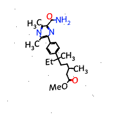 CCC(C)(CCC(C)CC(=O)OC)c1ccc(-c2nc(C(N)=O)c(C)nc2C)cc1